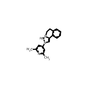 Cc1cc(N2C=C3c4ccccc4CCN3N2)cc(C)n1